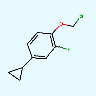 Fc1cc(C2CC2)ccc1OCBr